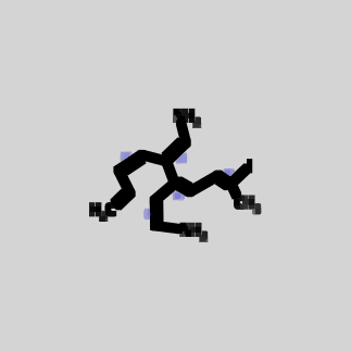 C=C\C=C/C(=C\N)C(/C=C\N)=C\C=C(/C)I